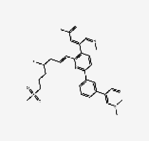 C=C/C(=C\N(C)C)c1cccc(-c2ccc(C(/C=N\C)=C/C(=C)C)c(/C=C/CC(CC)CCCS(C)(=O)=O)n2)c1